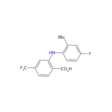 CC(C)(C)c1cc(F)ccc1Nc1cc(C(F)(F)F)ccc1C(=O)O